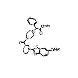 COC(=O)C(c1ccccc1)N1CCN(C(=O)C2CCCN(c3nc4ccc(OC)cc4s3)C2)CC1